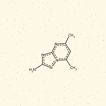 Cc1cc(C)n2nc(N)nc2n1